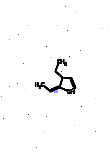 C/C=C1/NC=CC1CC